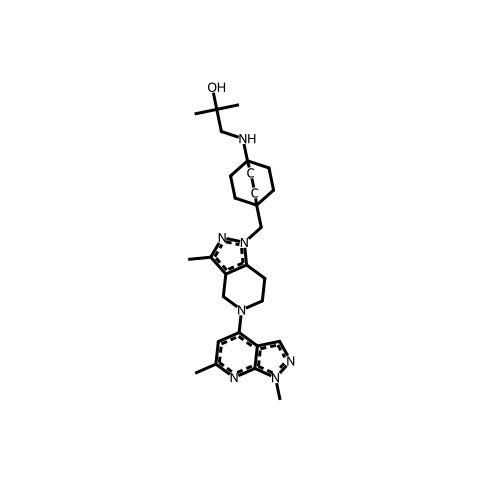 Cc1cc(N2CCc3c(c(C)nn3CC34CCC(NCC(C)(C)O)(CC3)CC4)C2)c2cnn(C)c2n1